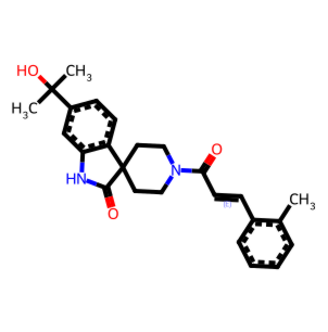 Cc1ccccc1/C=C/C(=O)N1CCC2(CC1)C(=O)Nc1cc(C(C)(C)O)ccc12